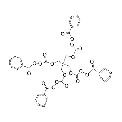 O=C(OCC(COC(=O)OOC(=O)c1ccccc1)(COC(=O)OOC(=O)c1ccccc1)COC(=O)OOC(=O)c1ccccc1)OOC(=O)c1ccccc1